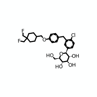 OC[C@H]1O[C@@H](c2ccc(Cl)c(Cc3ccc(OCC4CCC(CF)(CF)CC4)cc3)c2)[C@H](O)[C@@H](O)[C@@H]1O